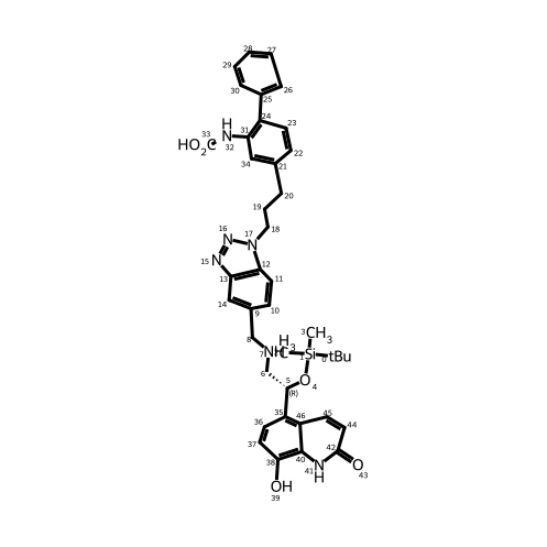 CC(C)(C)[Si](C)(C)O[C@@H](CNCc1ccc2c(c1)nnn2CCCc1ccc(-c2ccccc2)c(NC(=O)O)c1)c1ccc(O)c2[nH]c(=O)ccc12